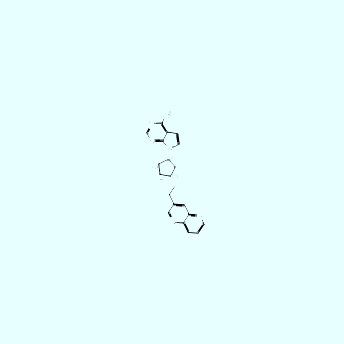 Nc1ncnc2c1ccn2[C@@H]1C[C@H](CCc2cnc3cccnc3c2)[C@@H](O)[C@H]1O